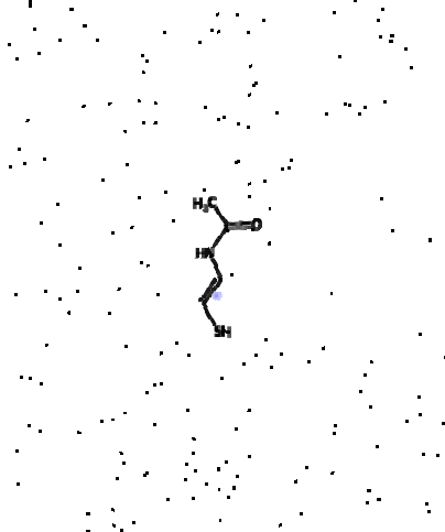 CC(=O)N/C=C/S